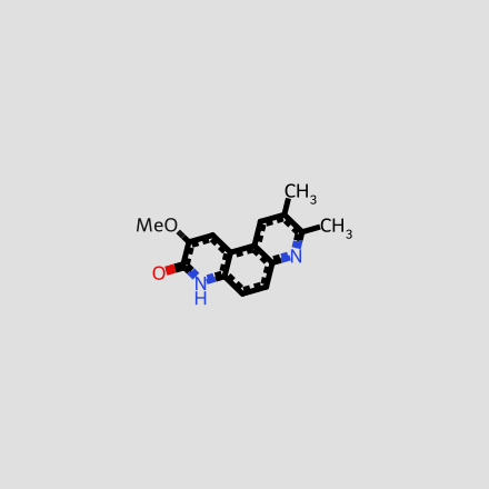 COc1cc2c(ccc3nc(C)c(C)cc32)[nH]c1=O